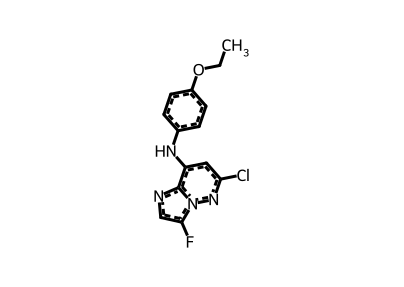 CCOc1ccc(Nc2cc(Cl)nn3c(F)cnc23)cc1